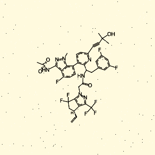 C=C[C@H]1CC(F)(F)c2c1c(C(F)(F)F)nn2CC(=O)NC(Cc1cc(F)cc(F)c1)c1nc(C#CC(C)(C)O)ccc1-c1ccc(F)c2c(NS(C)(=O)=O)nn(C)c12